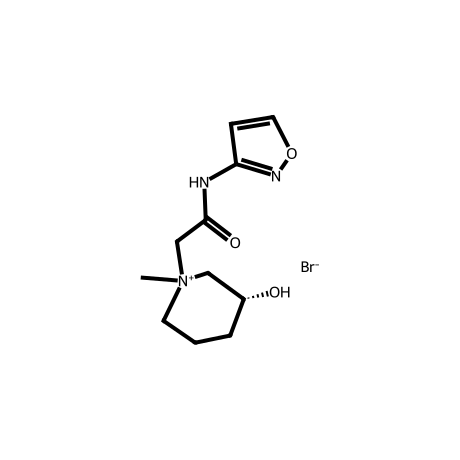 C[N+]1(CC(=O)Nc2ccon2)CCC[C@@H](O)C1.[Br-]